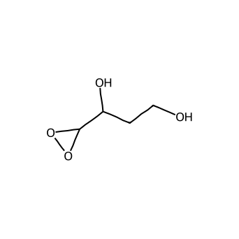 OCCC(O)C1OO1